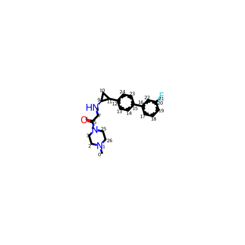 CN1CCN(C(=O)CN[C@H]2CC2c2ccc(-c3cccc(F)c3)cc2)CC1